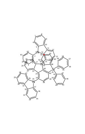 c1ccc(-n2c3ccccc3c3cccc(-n4c5ccccc5c5c(-n6c7ccccc7c7ccccc76)ccc([Si](c6ccccc6)(c6ccccc6)c6ccccc6)c54)c32)cc1